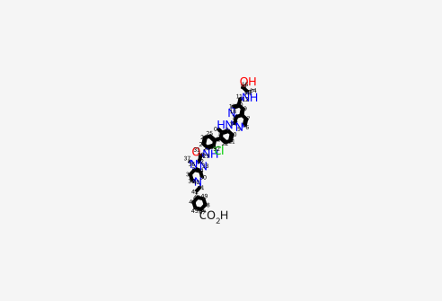 Cc1c(Nc2nccc3cc(CN[C@@H](C)CO)cnc23)cccc1-c1cccc(NC(=O)c2nc3c(n2C)CCN(CC[C@H]2CC[C@H](C(=O)O)CC2)C3)c1Cl